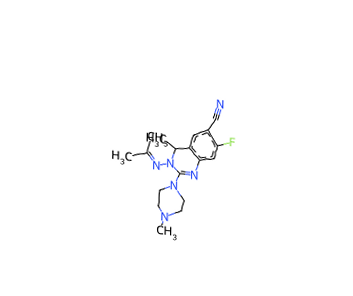 CC(C)=NN1C(N2CCN(C)CC2)=Nc2cc(F)c(C#N)cc2C1C